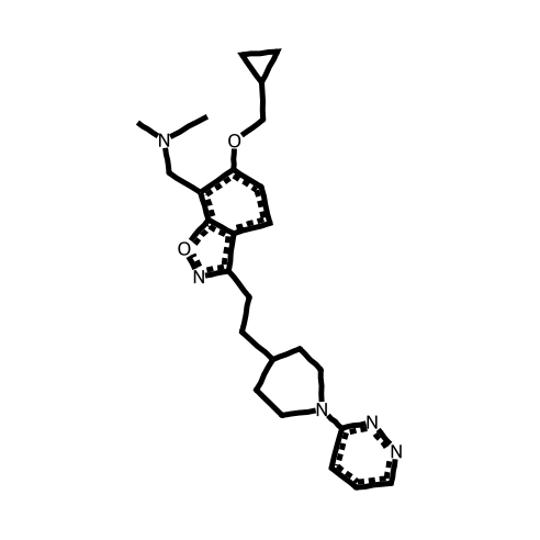 CN(C)Cc1c(OCC2CC2)ccc2c(CCC3CCN(c4cccnn4)CC3)noc12